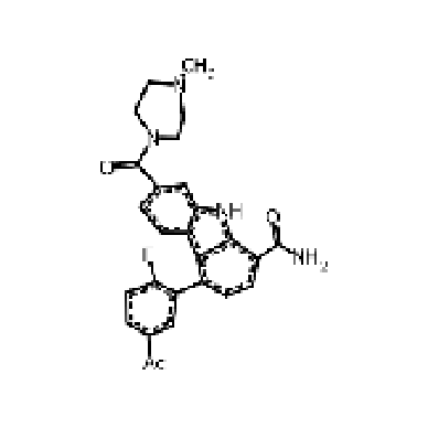 CC(=O)c1ccc(F)c(-c2ccc(C(N)=O)c3[nH]c4cc(C(=O)N5CCN(C)CC5)ccc4c23)c1